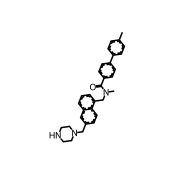 Cc1ccc(-c2ccc(C(=O)N(C)Cc3cccc4cc(CN5CCNCC5)ccc34)cc2)cc1